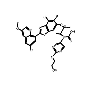 COc1cnc2c(-c3nc4c(Cl)c(F)c(O[C@@H](C)C(C)N(C(=O)O)c5cnc(OCCO)nc5)cc4s3)cc(Cl)cc2c1